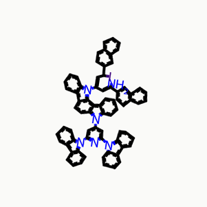 N/C(=C\C(=C/C(I)c1ccc2ccccc2c1)n1c2ccccc2c2ccc3c(c4ccccc4n3-c3cc(-n4c5ccccc5c5ccccc54)nc(-n4c5ccccc5c5ccccc54)c3)c21)c1ccc2ccccc2c1